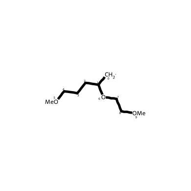 [CH2]C(CCCOC)OCCOC